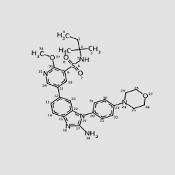 CCC(C)(C)NS(=O)(=O)c1cc(-c2ccc3nc(N)n(-c4ccc(N5CCOCC5)cc4)c3c2)cnc1OC